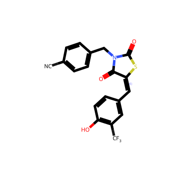 N#Cc1ccc(CN2C(=O)S/C(=C/c3ccc(O)c(C(F)(F)F)c3)C2=O)cc1